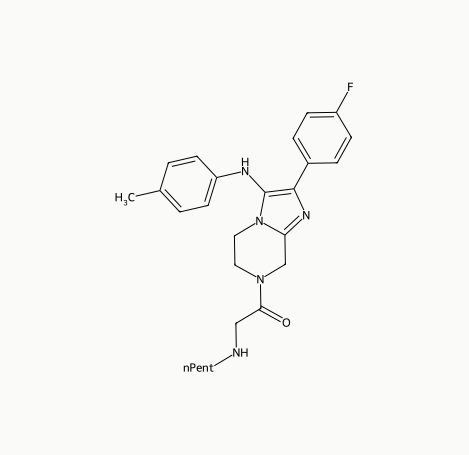 CCCCCNCC(=O)N1CCn2c(nc(-c3ccc(F)cc3)c2Nc2ccc(C)cc2)C1